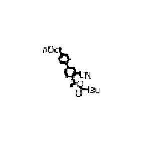 CCCCCCCCc1ccc(-c2ccc(C(C)OC(=O)C(C)CC)c(C#N)c2)cc1